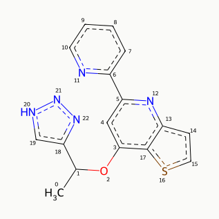 CC(Oc1cc(-c2ccccn2)nc2ccsc12)c1c[nH]nn1